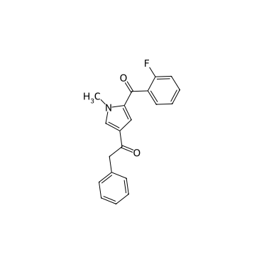 Cn1cc(C(=O)Cc2ccccc2)cc1C(=O)c1ccccc1F